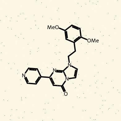 COc1ccc(OC)c(CCn2ccn3c(=O)cc(-c4ccncc4)nc23)c1